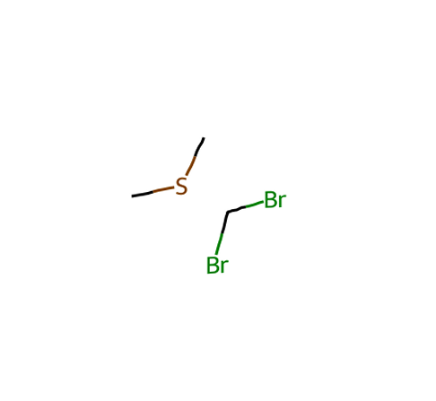 BrCBr.CSC